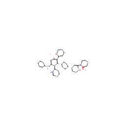 c1ccc(-c2nc3ccccc3c3c(-c4ccc(-c5ccc6oc7ccccc7c6c5)cc4)c4c(cc23)oc2ccccc24)cc1